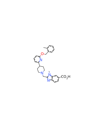 Cc1ccccc1COc1cccc(C2CCN(Cc3nc4ccc(C(=O)O)cc4n3C)CC2)n1